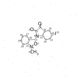 CN1OC(N2C(=O)C(=O)c3cc(I)ccc32)c2ccccc21